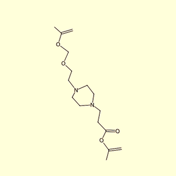 C=C(C)OCOCCN1CCN(CCC(=O)OC(=C)C)CC1